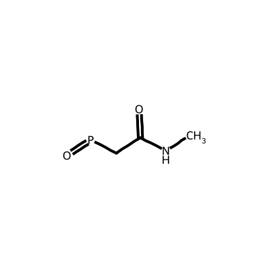 CNC(=O)CP=O